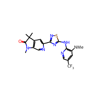 CNc1cc(C(F)(F)F)cnc1Nc1nc(-c2cc3c(cn2)N(C)C(=O)C3(C)C)ns1